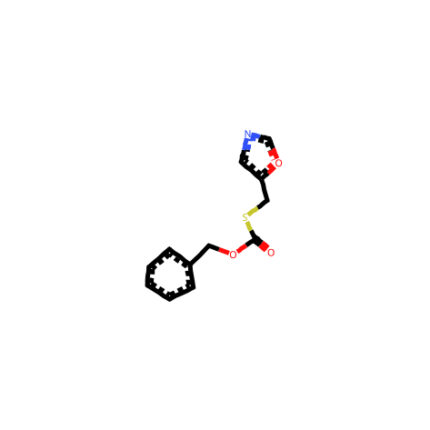 O=C(OCc1ccccc1)SCc1cnco1